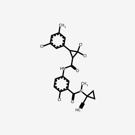 C#CC1(N(C)C(=O)c2cc(NC(=O)C3C(c4cc(C)cc(Cl)c4)C3(Cl)Cl)ccc2Cl)CC1